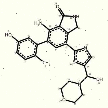 Cc1ccc(O)cc1-c1cc(-c2ncc(C(O)N3CCOCC3)s2)c2c(c1N)C(=O)NC2